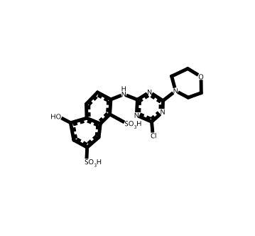 O=S(=O)(O)c1cc(O)c2ccc(Nc3nc(Cl)nc(N4CCOCC4)n3)c(S(=O)(=O)O)c2c1